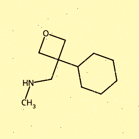 CNCC1(C2CCCCC2)COC1